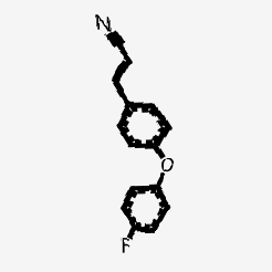 N#CC=Cc1ccc(Oc2ccc(F)cc2)cc1